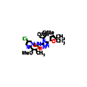 COCC(COC)n1c(NS(=O)(=O)C(C)C(OC)c2ncc(Cl)cn2)nnc1[C@@H]1CCC(C)(C)O1